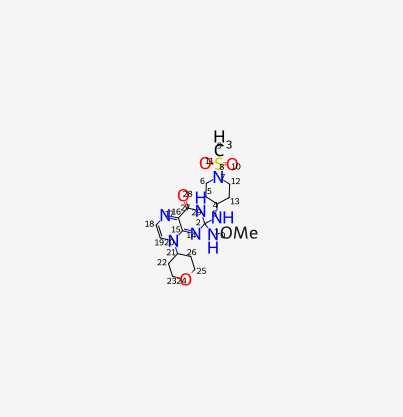 CONC1(NC2CCN(S(C)(=O)=O)CC2)N=C2C(=NC=CN2C2CCOCC2)C(=O)N1